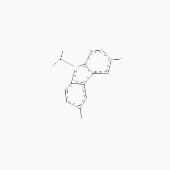 CC(C)n1c2ccc(Cl)cc2c2cc(Cl)ccc21